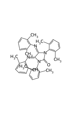 Cc1cccc(C)c1N=C1C(=Nc2c(C)cccc2C)N(c2c(C)cccc2C)C(=O)N1c1c(C)cccc1C